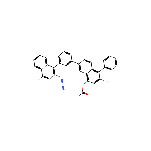 CC(=O)Oc1cc(N)c(-c2ccccc2)c2ccc(-c3cccc(-c4c(N=[N+]=[N-])cc(O)c5ccccc45)c3)cc12